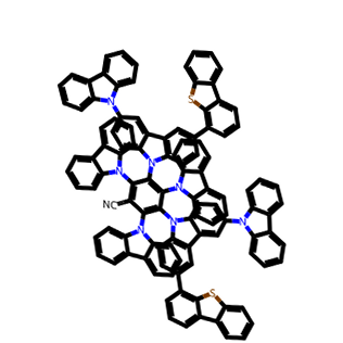 N#Cc1c(-n2c3ccccc3c3ccccc32)c(-n2c3ccc(-c4cccc5c4sc4ccccc45)cc3c3cc(-n4c5ccccc5c5ccccc54)ccc32)c(-n2c3ccccc3c3ccccc32)c(-n2c3ccc(-c4cccc5c4sc4ccccc45)cc3c3cc(-n4c5ccccc5c5ccccc54)ccc32)c1-n1c2ccccc2c2ccccc21